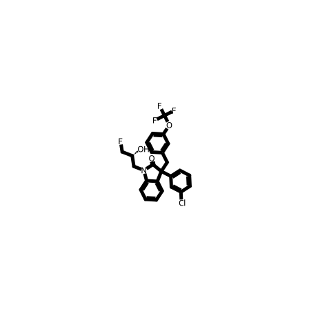 O=C1N(C[C@@H](O)CF)c2ccccc2C1(Cc1cccc(OC(F)(F)F)c1)c1cccc(Cl)c1